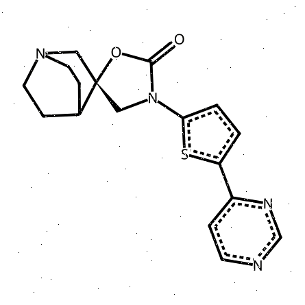 O=C1O[C@]2(CN3CCC2CC3)CN1c1ccc(-c2ccncn2)s1